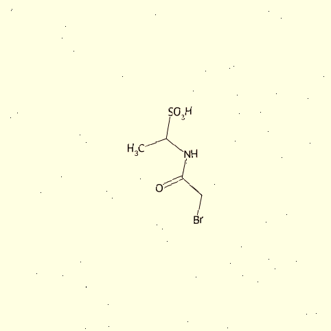 CC(NC(=O)CBr)S(=O)(=O)O